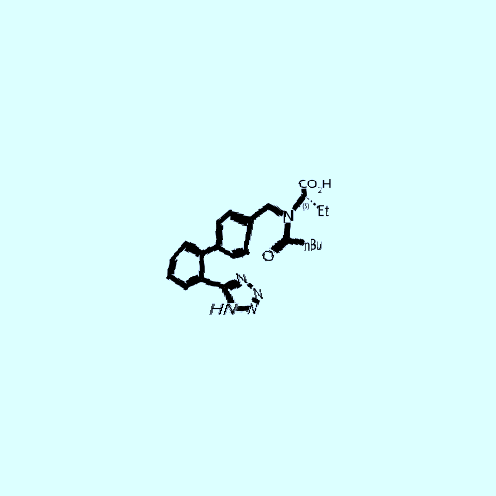 CCCCC(=O)N(Cc1ccc(-c2ccccc2-c2nnn[nH]2)cc1)[C@@H](CC)C(=O)O